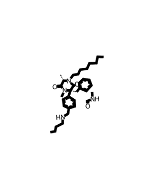 CCCCCCCCN1C(=O)[C@@](Cc2ccccc2)(c2ccc(CNCCCC)cc2)N(C)C(=O)[C@@H]1C.CNC=O